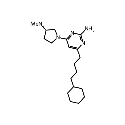 CN[C@@H]1CCN(c2cc(CCCCC3CCCCC3)nc(N)n2)C1